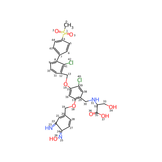 CS(=O)(=O)c1ccc(-c2cccc(COc3cc(OCC4=CC(=N)/C(=N\O)C=C4)c(CNC(CO)C(=O)O)cc3Cl)c2Cl)cc1